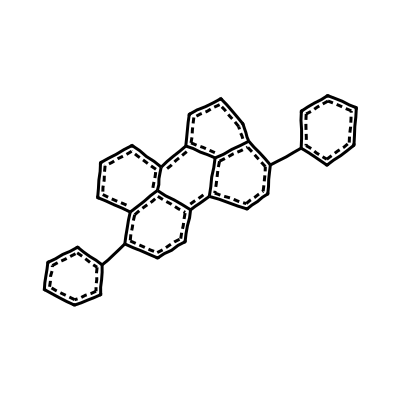 c1ccc(-c2ccc3c4ccc(-c5ccccc5)c5cccc(c6cccc2c63)c54)cc1